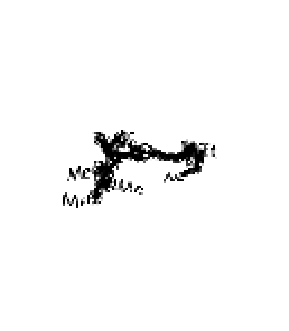 CC[C@H]1O[C@@H](n2ccc(=O)n(CCCCCCCOc3ccc(C#Cc4cc(CN(CCN(CC(C)=O)CC(C)=O)CC(C)=O)nc(CN(CCN(CC(=O)OC)CC(=O)OC)CC(=O)OC)c4)cc3)c2=O)CC1OP(C)OCCC#N